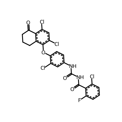 O=C(NC(=O)c1c(F)cccc1Cl)Nc1ccc(Oc2c(Cl)cc(Cl)c3c2CCCC3=O)c(Cl)c1